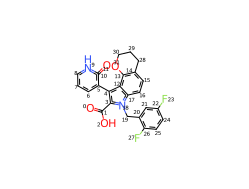 O=C(O)c1c(-c2ccc[nH]c2=O)c2c3c(ccc2n1Cc1cc(F)ccc1F)CCCO3